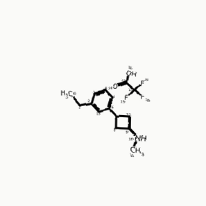 CCc1cccc(C2CC(NC)C2)c1.O=C(O)C(F)(F)F